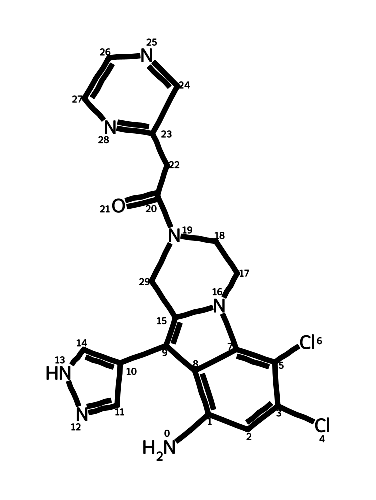 Nc1cc(Cl)c(Cl)c2c1c(-c1cn[nH]c1)c1n2CCN(C(=O)Cc2cnccn2)C1